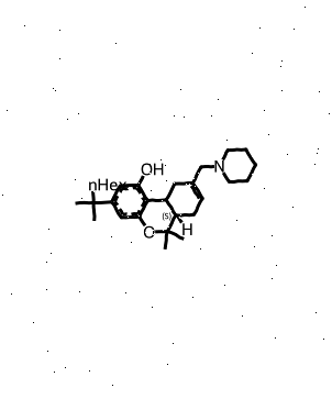 CCCCCCC(C)(C)c1cc(O)c2c(c1)OC(C)(C)[C@H]1CC=C(CN3CCCCC3)CC21